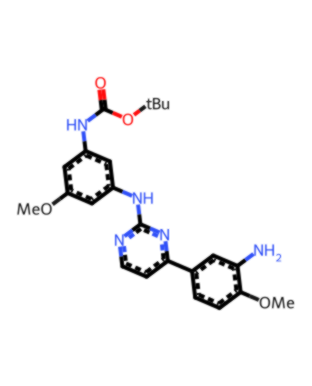 COc1cc(NC(=O)OC(C)(C)C)cc(Nc2nccc(-c3ccc(OC)c(N)c3)n2)c1